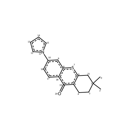 CC1(C)CCc2c(sc3cc(-n4cccc4)ccc3c2=O)C1